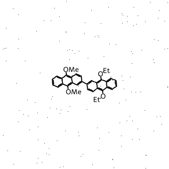 CCOc1c2ccccc2c(OCC)c2cc(-c3ccc4c(OC)c5ccccc5c(OC)c4c3)ccc12